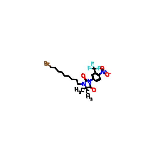 CC1(C)C(=O)N(c2ccc([N+](=O)[O-])c(C(F)(F)F)c2)C(=O)N1CCCCCCCCCBr